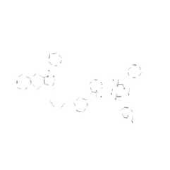 C1=CC(c2cn(-c3ccccc3)c3cc4ccccc4cc23)CC(c2cccc(-c3cccc(-c4nc(-c5ccccc5)nc(-c5ccncc5)n4)n3)c2)=C1